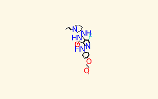 CC=CN1CCCC(NC2NC(=O)c3c(Nc4ccc(OCCOC)cc4)ncc(F)c32)C1